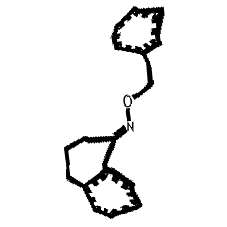 c1ccc(CO/N=C2\CCCc3ccccc32)cc1